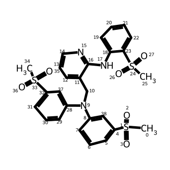 CS(=O)(=O)c1cccc(N(Cc2cccnc2Nc2ccccc2S(C)(=O)=O)c2cccc(S(C)(=O)=O)c2)c1